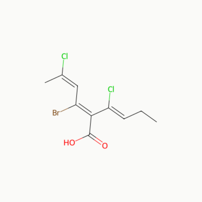 CC/C=C(Cl)/C(C(=O)O)=C(Br)\C=C(/C)Cl